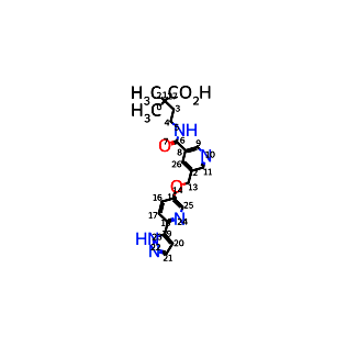 CC(C)(CCNC(=O)c1cncc(COc2ccc(-c3ccn[nH]3)nc2)c1)C(=O)O